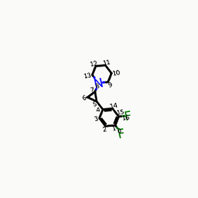 Fc1ccc(C2CC2N2CCCCC2)cc1F